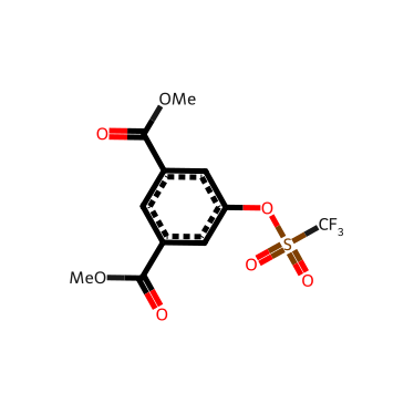 COC(=O)c1cc(OS(=O)(=O)C(F)(F)F)cc(C(=O)OC)c1